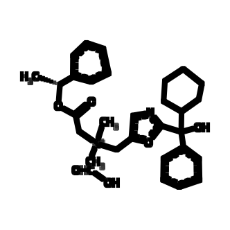 C[C@@H](OC(=O)C[N+](C)(C)Cc1cnc(C(O)(c2ccccc2)C2CCCCC2)o1)c1ccccc1.O=CO